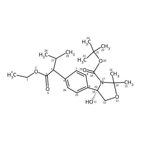 CCOC(=O)C(c1ccc([C@]2(O)COC(C)(C)N2C(=O)OC(C)(C)C)cc1)C(C)C